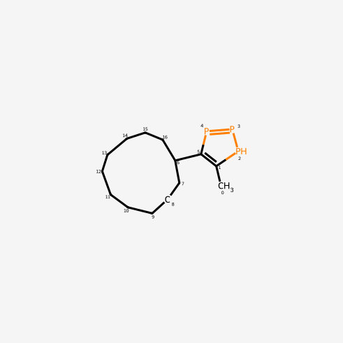 Cc1[pH]ppc1C1CCCCCCCCCC1